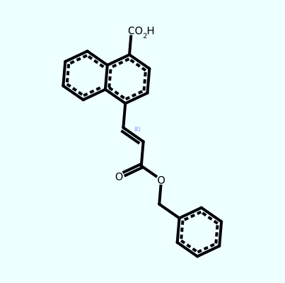 O=C(/C=C/c1ccc(C(=O)O)c2ccccc12)OCc1ccccc1